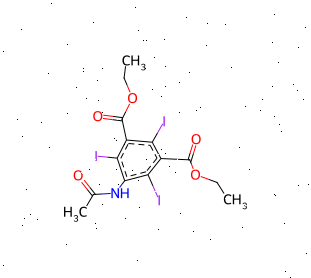 CCOC(=O)c1c(I)c(NC(C)=O)c(I)c(C(=O)OCC)c1I